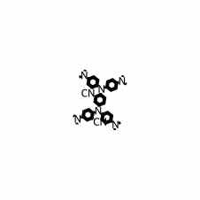 CN(C)c1ccc(N(c2ccc(N(c3ccc(N(C)C)cc3)c3ccc(N(C)C)cc3C#N)cc2)c2ccc(N(C)C)cc2C#N)cc1